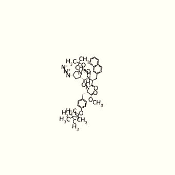 COC(=O)[C@H](Cc1ccc(O[Si](C)(C)C(C)(C)C)cc1)NC(=O)[C@H](Cc1ccc2ccccc2c1)NC(=O)[C@@H]1C[C@H](N=[N+]=[N-])CN1C(=O)OC(C)(C)C